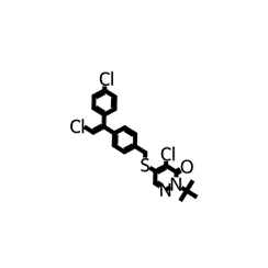 CC(C)(C)n1ncc(SCc2ccc(C(=CCl)c3ccc(Cl)cc3)cc2)c(Cl)c1=O